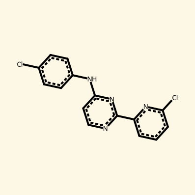 Clc1ccc(Nc2ccnc(-c3cccc(Cl)n3)n2)cc1